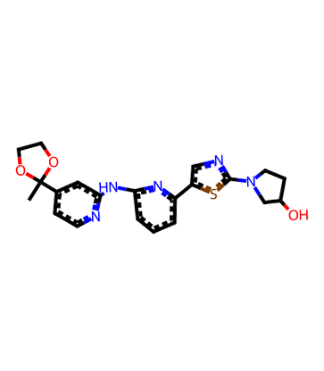 CC1(c2ccnc(Nc3cccc(-c4cnc(N5CCC(O)C5)s4)n3)c2)OCCO1